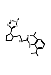 CC(C)c1cccc(C(C)C)c1NC(=O)NCC1CCCC1c1nnn(C)n1